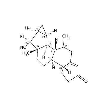 CC[C@]1(C#N)[C@H]2C[C@H]2[C@H]2[C@H]3[C@H](CC[C@@]21C)[C@H]1CCC(=O)C=C1C[C@H]3C